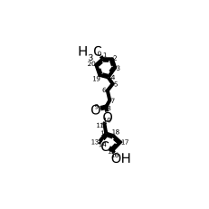 Cc1ccc(CCCC(=O)OCc2ccc(O)cc2)cc1